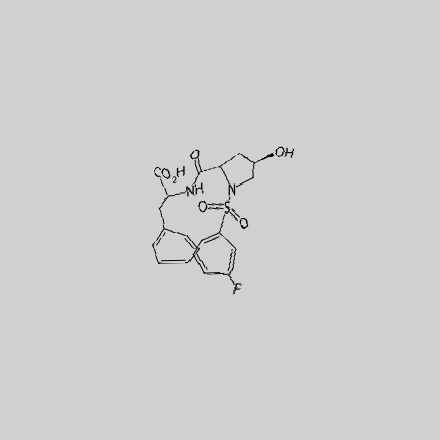 O=C(O)C(Cc1ccccc1)NC(=O)C1C[C@@H](O)CN1S(=O)(=O)c1cccc(F)c1